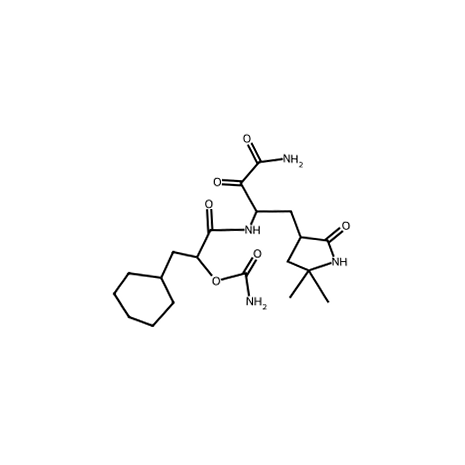 CC1(C)CC(CC(NC(=O)C(CC2CCCCC2)OC(N)=O)C(=O)C(N)=O)C(=O)N1